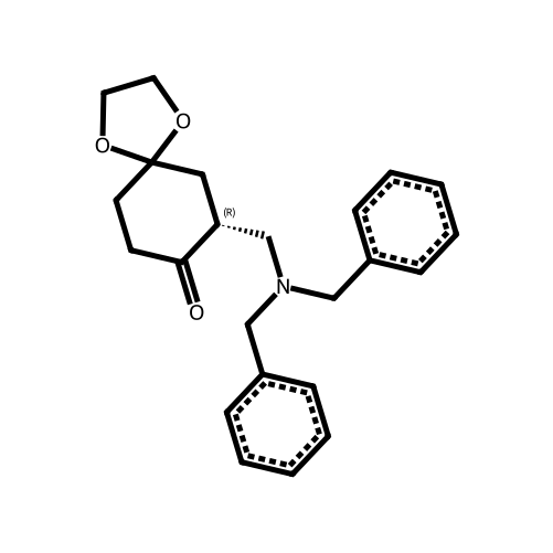 O=C1CCC2(C[C@@H]1CN(Cc1ccccc1)Cc1ccccc1)OCCO2